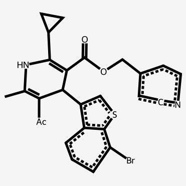 CC(=O)C1=C(C)NC(C2CC2)=C(C(=O)OCc2ccncc2)C1c1csc2c(Br)cccc12